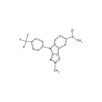 Cn1cc2c3cc([S+](C)[O-])ccc3n(-c3ccc(C(F)(F)F)cc3)c2n1